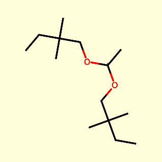 CCC(C)(C)CO[C](C)OCC(C)(C)CC